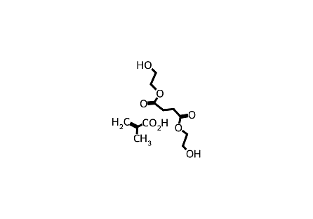 C=C(C)C(=O)O.O=C(CCC(=O)OCCO)OCCO